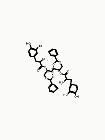 NC(Cc1ccc(O)c(O)c1)C(=O)O[C@@H]1COC(c2ccccc2)O[C@H]1[C@@H]1OC(c2ccccc2)OC[C@H]1OC(=O)C(N)Cc1ccc(O)c(O)c1